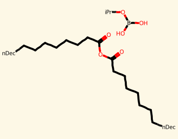 CC(C)OB(O)O.CCCCCCCCCCCCCCCCCC(=O)OC(=O)CCCCCCCCCCCCCCCCC